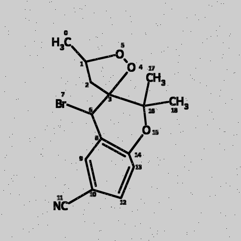 CC1CC2(OO1)C(Br)c1cc(C#N)ccc1OC2(C)C